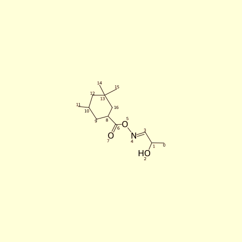 CC(O)C=NOC(=O)C1CC(C)CC(C)(C)C1